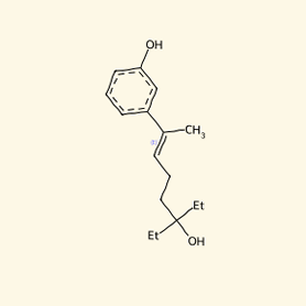 CCC(O)(CC)CC/C=C(\C)c1cccc(O)c1